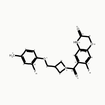 Cc1ccc(OCC2CN(C(=O)c3cc4c(cc3F)OCC(=O)N4)C2)c(F)c1